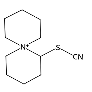 N#CSC1CCCC[N+]12CCCCC2